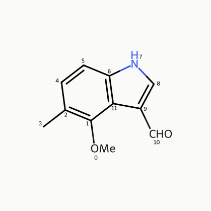 COc1c(C)ccc2[nH]cc(C=O)c12